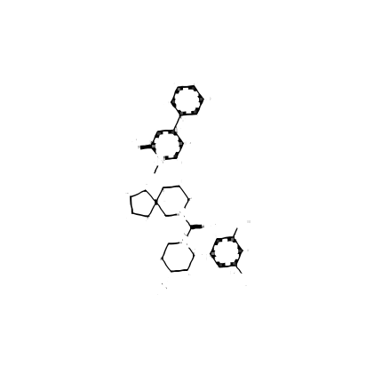 N[C@@H]1CCN(C(=O)N2CC[C@@H](Cn3ccc(-c4ccccc4)cc3=O)C3(CCCC3)C2)[C@H](c2cc(F)cc(F)c2)C1